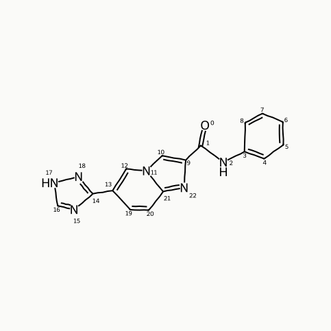 O=C(Nc1ccccc1)c1cn2cc(-c3nc[nH]n3)ccc2n1